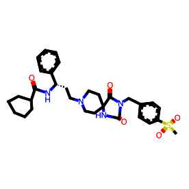 CS(=O)(=O)c1ccc(CN2C(=O)NC3(CCN(CC[C@H](NC(=O)C4CCCCC4)c4ccccc4)CC3)C2=O)cc1